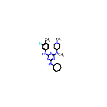 Cc1ccc(Nc2nc(NC3CCCCCC3)nc(N(C)C3CCN(C)CC3)n2)cc1F